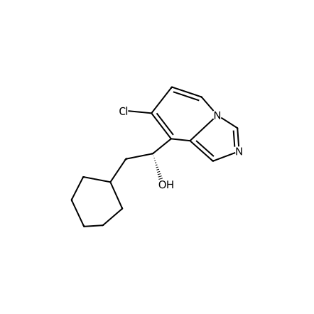 O[C@H](CC1CCCCC1)c1c(Cl)ccn2cncc12